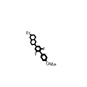 CCC1CCC2CC(c3cc(F)c(-c4ccc(OC)cc4)c(F)c3)CCC2C1